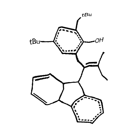 CC(C)=C(c1cc(C(C)(C)C)cc(C(C)(C)C)c1O)C1c2ccccc2C2C=CC=CC21